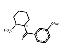 COc1cccc(C(=O)[C@@H]2CCCCN2C(=O)O)c1